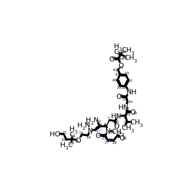 CC(C)C(NC(=O)C[C@H](/C(N)=C/N(N)CCOC(C)(C)CCO)N(C)C(=O)/C=C\C=O)C(=O)NCC(=O)Nc1ccc(COC(=O)C(C)(C)C)cc1